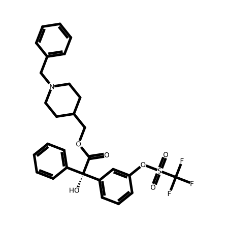 O=C(OCC1CCN(Cc2ccccc2)CC1)[C@](O)(c1ccccc1)c1cccc(OS(=O)(=O)C(F)(F)F)c1